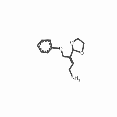 NC/C=C(\COc1ccccc1)C1OCCO1